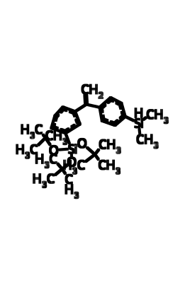 C=C(c1ccc([SiH](C)C)cc1)c1cccc([Si](OC(C)(C)C)(OC(C)(C)C)OC(C)(C)C)c1